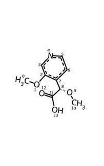 COc1cnccc1[C@H](OC)C(=O)O